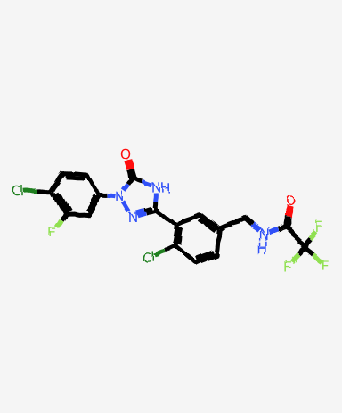 O=C(NCc1ccc(Cl)c(-c2nn(-c3ccc(Cl)c(F)c3)c(=O)[nH]2)c1)C(F)(F)F